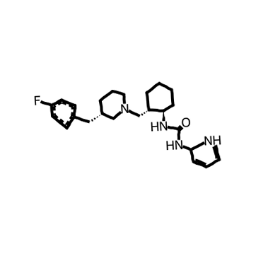 O=C(NC1C=CC=CN1)N[C@@H]1CCCC[C@H]1CN1CCC[C@@H](Cc2ccc(F)cc2)C1